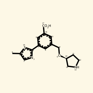 Cc1cnc(-c2cc(CO[C@H]3CCNC3)cc(C(=O)O)c2)s1